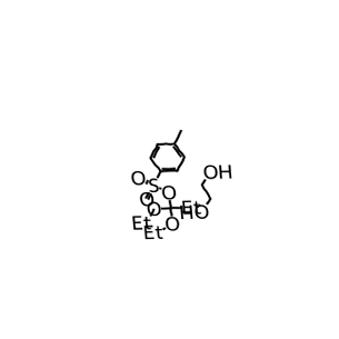 CCOC(CC)(OCC)OS(=O)(=O)c1ccc(C)cc1.OCCO